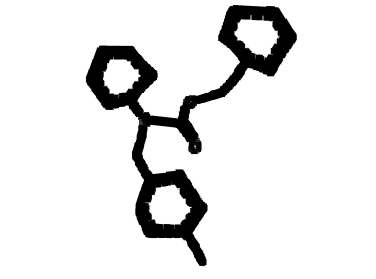 Cc1ccc(CN(C(=O)OCc2ccccc2)c2ccccc2)cc1